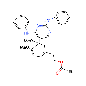 CCC(=O)OCCC1=CC=C(OC)C(OC)(c2cnc(Nc3ccccc3)nc2Nc2ccccc2)C1